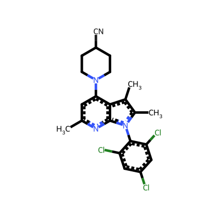 Cc1cc(N2CCC(C#N)CC2)c2c(C)c(C)n(-c3c(Cl)cc(Cl)cc3Cl)c2n1